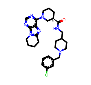 O=C(NCC1CCN(Cc2cccc(Cl)c2)CC1)[C@@H]1CCCN(c2ncnc3c2nc2n3CCCC2)C1